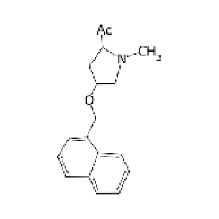 CC(=O)C1CC(OCc2cccc3ccccc23)CN1C